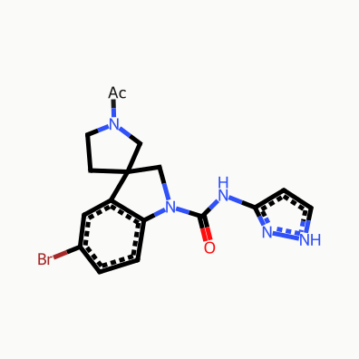 CC(=O)N1CCC2(C1)CN(C(=O)Nc1cc[nH]n1)c1ccc(Br)cc12